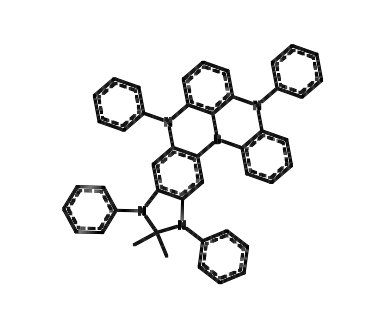 CC1(C)N(c2ccccc2)c2cc3c(cc2N1c1ccccc1)N(c1ccccc1)c1cccc2c1B3c1ccccc1N2c1ccccc1